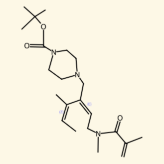 C=C(C)C(=O)N(C)C/C=C(CN1CCN(C(=O)OC(C)(C)C)CC1)\C(C)=C/C